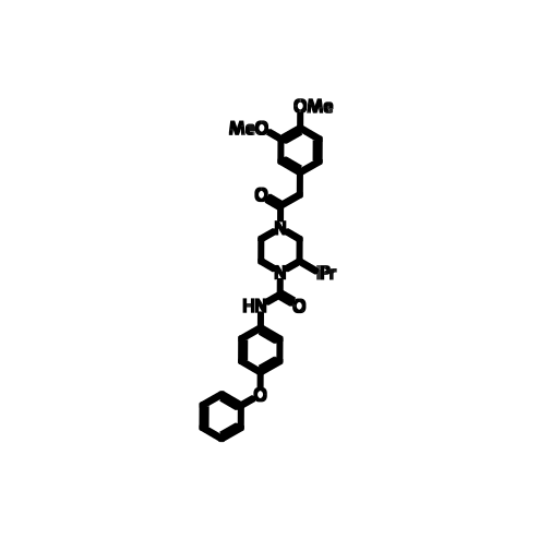 COc1ccc(CC(=O)N2CCN(C(=O)Nc3ccc(Oc4ccccc4)cc3)C(C(C)C)C2)cc1OC